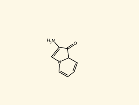 NC1=CN2C=CC=CC2C1=O